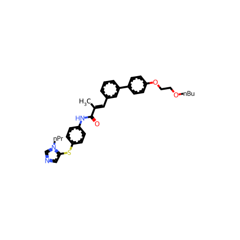 CCCCOCCOc1ccc(-c2cccc(/C=C(\C)C(=O)Nc3ccc(Sc4cncn4CCC)cc3)c2)cc1